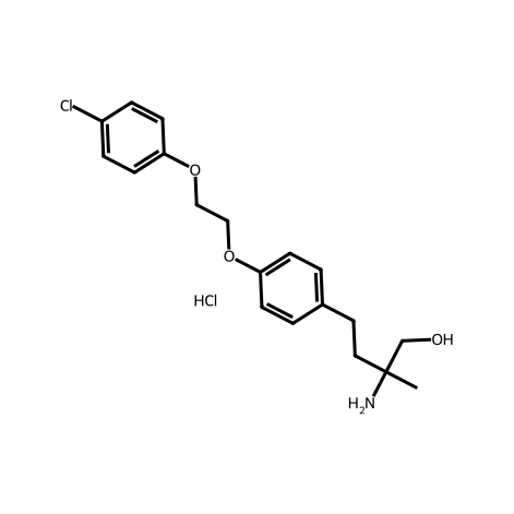 CC(N)(CO)CCc1ccc(OCCOc2ccc(Cl)cc2)cc1.Cl